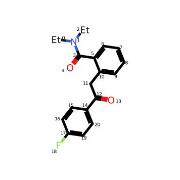 CCN(CC)C(=O)c1ccccc1CC(=O)c1ccc(F)cc1